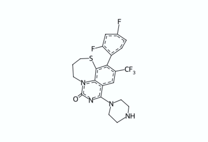 O=c1nc(N2CCNCC2)c2cc(C(F)(F)F)c(-c3ccc(F)cc3F)c3c2n1CCCS3